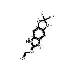 O=CN=c1[nH]c2cc3c(cc2[nH]1)OC(F)(F)O3